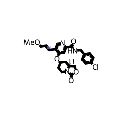 COC/C=C/c1cnc(C(=O)NCc2ccc(Cl)cc2)cc1O[C@H]1CCN2C(=O)OC[C@@H]2C1